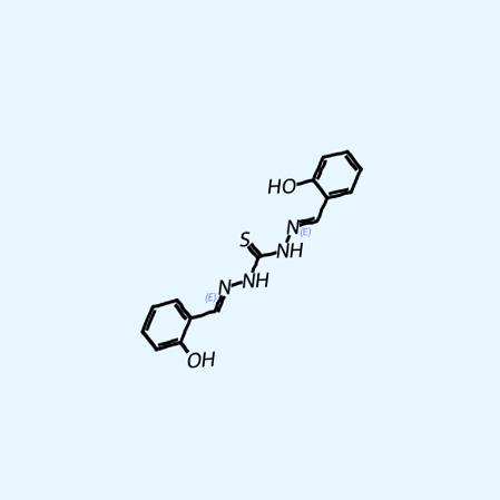 Oc1ccccc1/C=N/NC(=S)N/N=C/c1ccccc1O